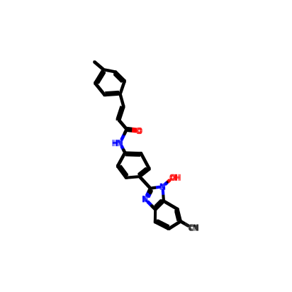 Cc1ccc(/C=C/C(=O)Nc2ccc(-c3nc4ccc(C#N)cc4n3O)cc2)cc1